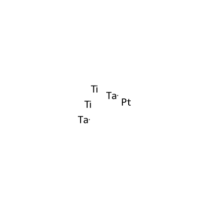 [Pt].[Ta].[Ta].[Ti].[Ti]